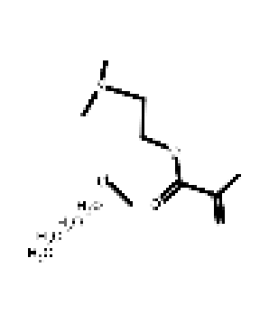 C=C(C)C(=O)OCCN(C)C.CCl.O.O.O.O